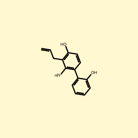 C=CCc1c(O)ccc(-c2ccccc2O)c1CCC